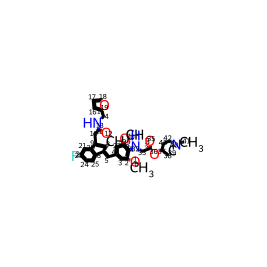 COc1cc(C=C2C(C)=C(CC(=O)NCc3ccco3)c3cc(F)ccc32)cc(OC)c1NCC(=O)OC1CCN(C)CC1